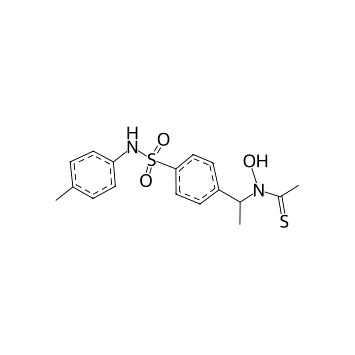 CC(=S)N(O)C(C)c1ccc(S(=O)(=O)Nc2ccc(C)cc2)cc1